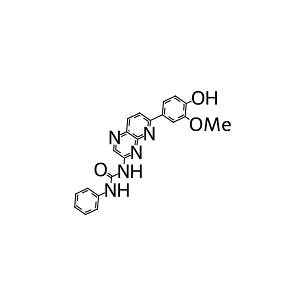 COc1cc(-c2ccc3ncc(NC(=O)Nc4ccccc4)nc3n2)ccc1O